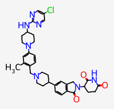 Cc1cc(N2CCC(Nc3ncc(Cl)cn3)CC2)ccc1CN1CCC(c2ccc3c(c2)CN(C2CCC(=O)NC2=O)C3=O)CC1